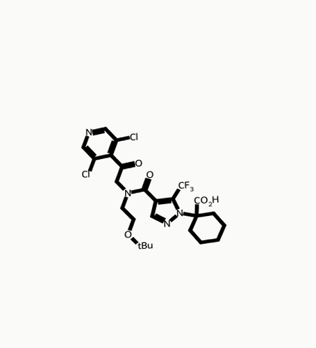 CC(C)(C)OCCN(CC(=O)c1c(Cl)cncc1Cl)C(=O)c1cnn(C2(C(=O)O)CCCCC2)c1C(F)(F)F